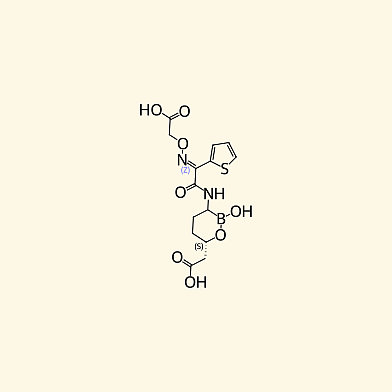 O=C(O)CO/N=C(/C(=O)NC1CC[C@@H](CC(=O)O)OB1O)c1cccs1